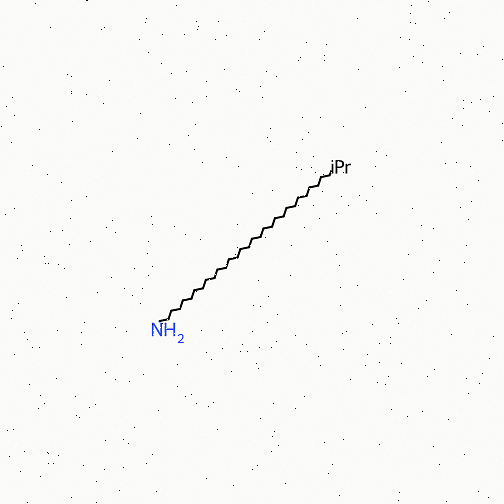 CC(C)CCCCCCCCCCCCCCCCCCCCCCCCCCCCCCN